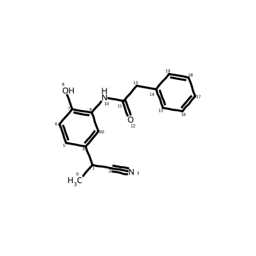 CC(C#N)c1ccc(O)c(NC(=O)Cc2ccccc2)c1